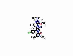 COc1nc(N(C)C)ncc1N1NC2=CN(c3cc(C)cn(C)c3=O)C(c3ccc(Cl)cc3)C2=C1C(C)C